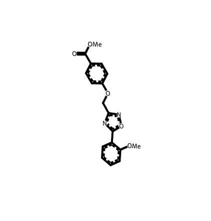 COC(=O)c1ccc(OCc2noc(-c3ccccc3OC)n2)cc1